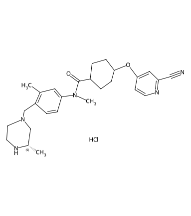 Cc1cc(N(C)C(=O)C2CCC(Oc3ccnc(C#N)c3)CC2)ccc1CN1CCN[C@@H](C)C1.Cl